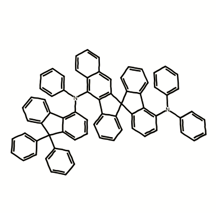 c1ccc(N(c2ccccc2)c2cccc3c2-c2ccccc2C32c3ccccc3-c3c2cc2ccccc2c3N(c2ccccc2)c2cccc3c2-c2ccccc2C3(c2ccccc2)c2ccccc2)cc1